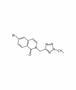 Cn1nnc(Cn2ccc3cc(Br)ccc3c2=O)n1